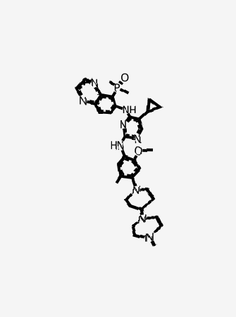 COc1cc(N2CCC(N3CCN(C)CC3)CC2)c(C)cc1Nc1ncc(C2CC2)c(Nc2ccc3nccnc3c2P(C)(C)=O)n1